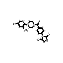 CCc1cnc(N2CCN(C(=O)c3ccc(N4C(=O)OC[C@H]4O)cc3)CC2)c(C)c1